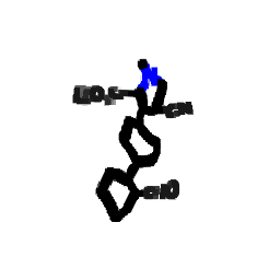 CCOC(=O)c1c(-c2ccc(-c3ccccc3C=O)cc2)c(C#N)cn1C